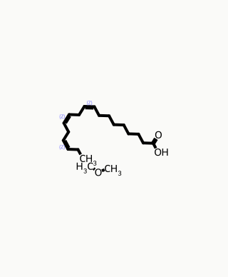 CC/C=C\C/C=C\C/C=C\CCCCCCCC(=O)O.COC